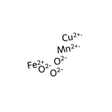 [Cu+2].[Fe+2].[Mn+2].[O-2].[O-2].[O-2]